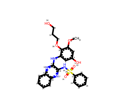 COc1cc(O)cc(Nc2nc3ccccc3nc2NS(=O)(=O)c2ccccc2)c1OCCCO